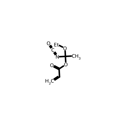 C=CC(=O)OC(C)(N=C=O)OCC